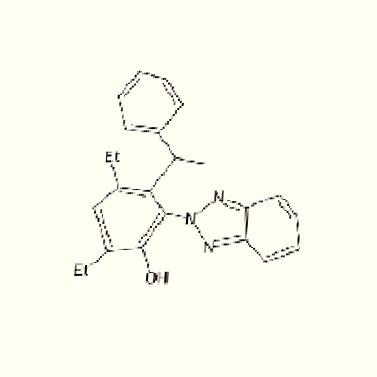 CCc1cc(CC)c(C(C)c2ccccc2)c(-n2nc3ccccc3n2)c1O